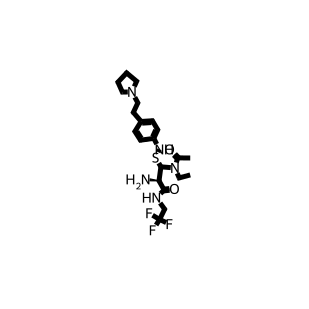 CCN(C(C)=O)C(SNc1ccc(CCN2CCCC2)cc1)[C@H](N)C(=O)NCC(F)(F)F